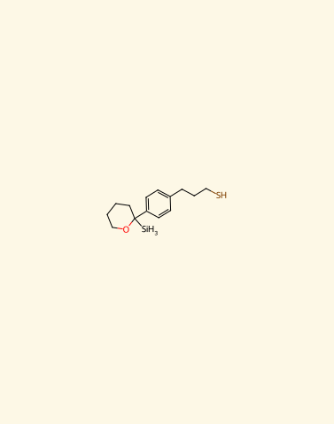 [SiH3]C1(c2ccc(CCCS)cc2)CCCCO1